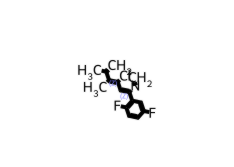 C=N/C(=C\C(Cl)=C(/C)C(=C)C)c1cc(F)ccc1F